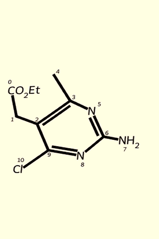 CCOC(=O)Cc1c(C)nc(N)nc1Cl